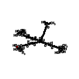 CCCC1C[C@@H](O)CN1C(=O)CCCCCCCCCCC(=O)NC(COCCC(=O)NCCCNC(=O)CCCCOC1OC(CO)C(O)C(O)C1NC(C)=O)(COCCC(=O)NCCCNC(=O)CCCCOC1OC(CO)C(O)C(O)C1NC(C)=O)COCCC(=O)NCCCNC(=O)CCCCOC1OC(CO)C(O)C(O)C1NC(C)=O